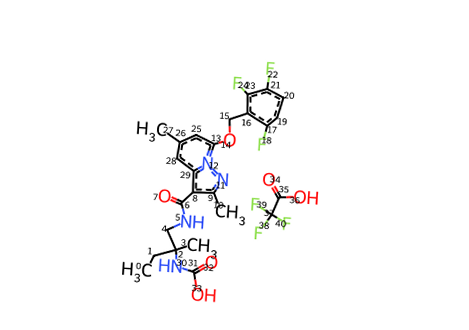 CCC(C)(CNC(=O)c1c(C)nn2c(OCc3c(F)ccc(F)c3F)cc(C)cc12)NC(=O)O.O=C(O)C(F)(F)F